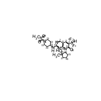 [2H]C(F)(F)c1cc2cnc(NC3CCN(S(C)(=O)=O)CC3)nc2n([C@@H]2CCC[C@@]2(C)O)c1=O